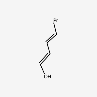 CC(C)/C=C/C=C/O